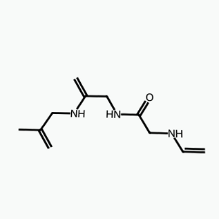 C=CNCC(=O)NCC(=C)NCC(=C)C